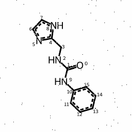 O=C(NCc1ncc[nH]1)Nc1cc[c]cc1